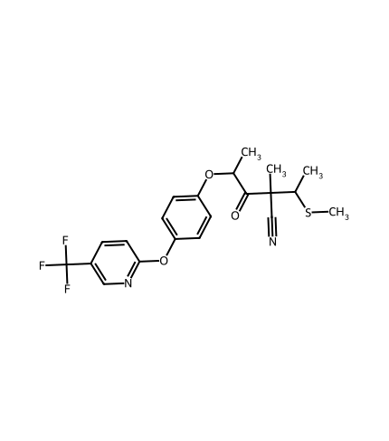 CSC(C)C(C)(C#N)C(=O)C(C)Oc1ccc(Oc2ccc(C(F)(F)F)cn2)cc1